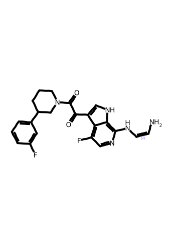 N/C=C\Nc1ncc(F)c2c(C(=O)C(=O)N3CCCC(c4cccc(F)c4)C3)c[nH]c12